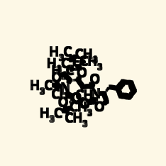 C[C@@H](C(=O)N1C(=O)OC[C@H]1Cc1ccccc1)C(O[Si](C)(C)C(C)(C)C)[C@H]1COC(C)(C)N1C(=O)OC(C)(C)C